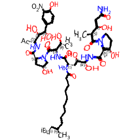 CC[C@H](C)C[C@H](C)CCCCCCCCC(=O)N[C@@H](C[C@@H](O)[C@@H](O)NC(=O)[C@@H]1[C@@H](O)CCN1C(=O)[C@@H](C)[C@H](O)CC(N)=O)C(=O)N[C@H](C(=O)N1C[C@H](O)C[C@H]1C(=O)N[C@H](C(C)=O)[C@H](O)[C@@H](O)c1ccc(O)c([N+](=O)[O-])c1)[C@@H](C)O